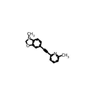 Cc1cccc(C#Cc2ccc3c(c2)OCN3C)n1